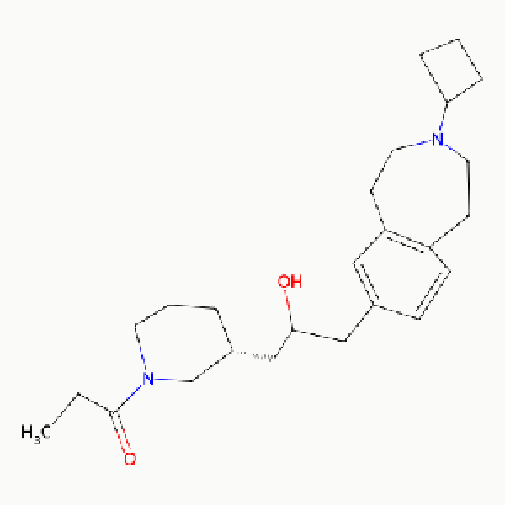 CCC(=O)N1CCC[C@H](CC(O)Cc2ccc3c(c2)CCN(C2CCC2)CC3)C1